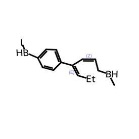 CBC/C=C\C(=C/CC)c1ccc(BI)cc1